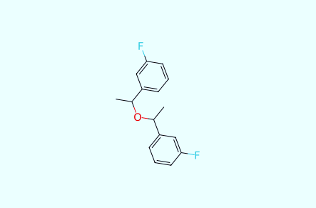 CC(OC(C)c1cccc(F)c1)c1cccc(F)c1